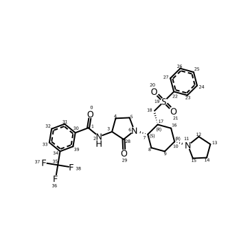 O=C(NC1CCN([C@H]2CC[C@@H](N3CCCC3)C[C@H]2CS(=O)(=O)c2ccccc2)C1=O)c1cccc(C(F)(F)F)c1